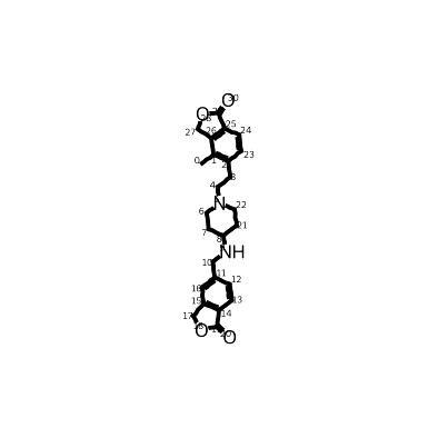 Cc1c(CCN2CCC(NCc3ccc4c(c3)COC4=O)CC2)ccc2c1COC2=O